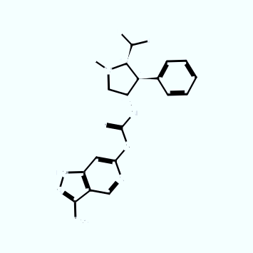 COc1n[nH]c2cc(NC(=O)N[C@@H]3CN(C)[C@@H](C(F)F)[C@H]3c3ccccc3)ncc12